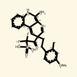 COc1ccc(CCC2(C(=O)C(F)(F)P(=O)(O)O)C=NC3=C(N)Nc4ccccc4C3=C2)c(C)c1